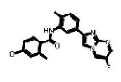 Cc1ccc(-c2cn3cc(F)cnc3n2)cc1NC(=O)c1ccc(Cl)cc1C